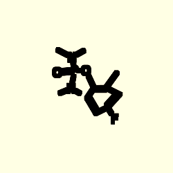 Cc1cc(F)ccc1OP(=O)(N(C)C)N(C)C